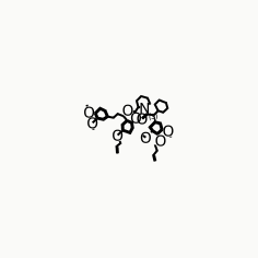 C=CCCOc1c(OC)cc([C@@H](C(=O)N2CCCCC2C(=O)OC(CCc2ccc(OC)c(OC)c2)c2cccc(OCC=C)c2)C2CCCCC2)cc1OC